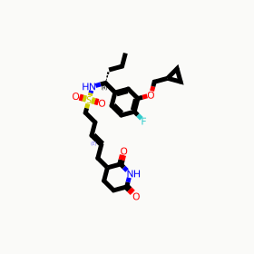 CCC[C@@H](NS(=O)(=O)CC/C=C/CC1CCC(=O)NC1=O)c1ccc(F)c(OCC2CC2)c1